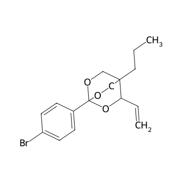 C=CC1OC2(c3ccc(Br)cc3)OCC1(CCC)CO2